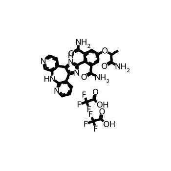 CC(Oc1cc(C(N)=O)c(-c2nc3c([nH]2)-c2ccncc2Nc2ncccc2-3)c(C(N)=O)c1)C(N)=O.O=C(O)C(F)(F)F.O=C(O)C(F)(F)F